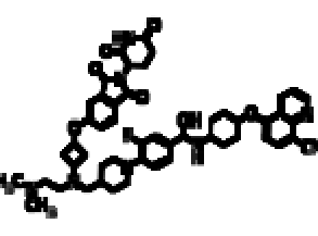 CN(C)CCN(CC1CCN(c2ccc(C(O)NC3CCC(Oc4ccc(C#N)c5ncccc45)CC3)cc2F)CC1)C1CC(Oc2ccc3c(c2)C(=O)N(C2CCC(=O)NC2=O)C3=O)C1